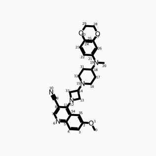 COc1ccc2ncc(C#N)c(N3CC(N4CCC(N(C)c5ccc6c(c5)OCCO6)CC4)C3)c2c1